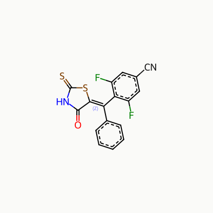 N#Cc1cc(F)c(/C(=C2\SC(=S)NC2=O)c2ccccc2)c(F)c1